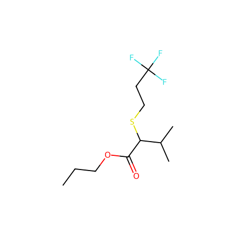 CCCOC(=O)C(SCCC(F)(F)F)C(C)C